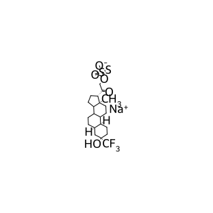 C[C@]12CCC3C(CC[C@@H]4C[C@@](O)(C(F)(F)F)CC[C@H]34)C1CC[C@@H]2C(=O)COS(=O)([O-])=S.[Na+]